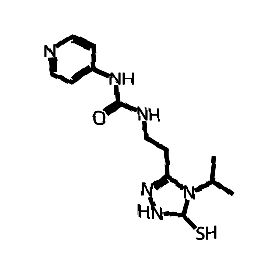 CC(C)N1C(CCNC(=O)Nc2ccncc2)=NNC1S